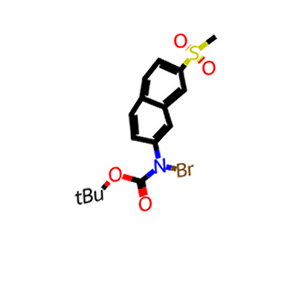 CC(C)(C)OC(=O)N(Br)c1ccc2ccc(S(C)(=O)=O)cc2c1